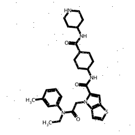 CCN(C(=O)Cn1c(C(=O)NC2CCC(C(=O)NC3CCNCC3)CC2)cc2sccc21)c1cccc(C)c1